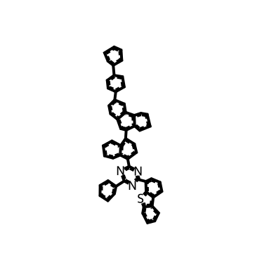 c1ccc(-c2ccc(-c3ccc4cc(-c5ccc(-c6nc(-c7ccccc7)nc(-c7cccc8c7sc7ccccc78)n6)c6ccccc56)c5ccccc5c4c3)cc2)cc1